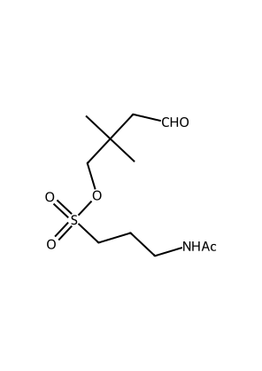 CC(=O)NCCCS(=O)(=O)OCC(C)(C)CC=O